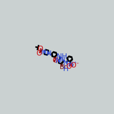 COc1cc(N2CCN(C(=O)OC(C)(C)C)CC2)ccc1Nc1ncc(Br)c(Nc2ccccc2[N+](=O)[O-])n1